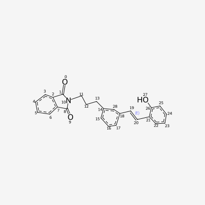 O=C1c2ccccc2C(=O)N1CCCc1cccc(/C=C/c2ccccc2O)c1